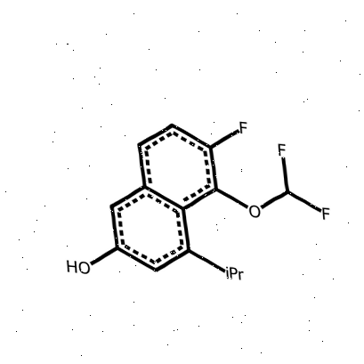 CC(C)c1cc(O)cc2ccc(F)c(OC(F)F)c12